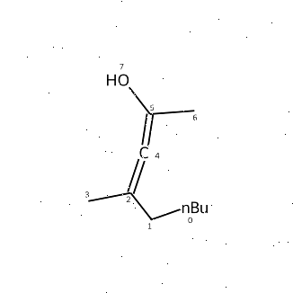 CCCCCC(C)=C=C(C)O